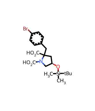 CC(C)(C)[Si](C)(C)O[C@H]1CN(C(=O)O)C(Cc2ccc(Br)cc2)(C(=O)O)C1